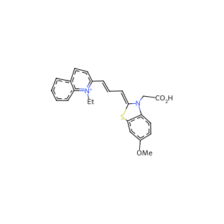 CC[n+]1c(C=CC=C2Sc3cc(OC)ccc3N2CC(=O)O)ccc2ccccc21